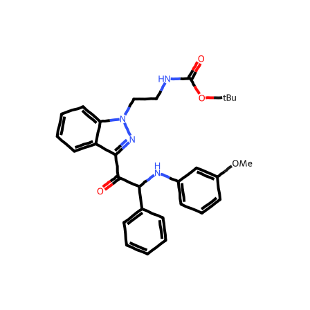 COc1cccc(NC(C(=O)c2nn(CCNC(=O)OC(C)(C)C)c3ccccc23)c2ccccc2)c1